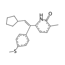 CSc1ccc(/C(=C\C2CCCC2)c2ccc(C)c(=O)[nH]2)cc1